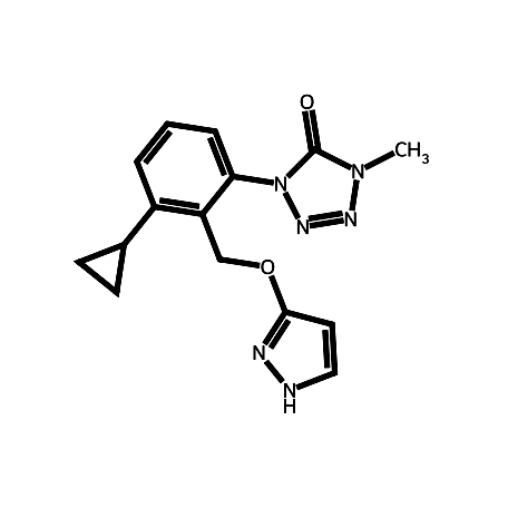 Cn1nnn(-c2cccc(C3CC3)c2COc2cc[nH]n2)c1=O